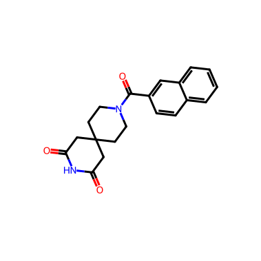 O=C1CC2(CCN(C(=O)c3ccc4ccccc4c3)CC2)CC(=O)N1